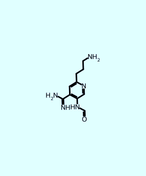 N=C(N)c1cc(CCCN)ncc1NC=O